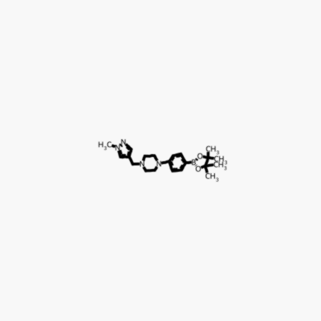 Cn1cc(CN2CCN(c3ccc(B4OC(C)(C)C(C)(C)O4)cc3)CC2)cn1